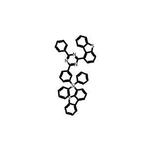 c1ccc(-c2nc(-c3cccc([Si](c4ccccc4)(c4ccccc4)c4cccc5c4sc4ccccc45)c3)nc(-c3cccc4sc5ccccc5c34)n2)cc1